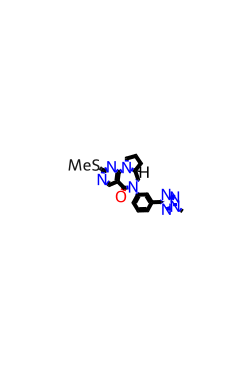 CSc1ncc2c(n1)N1CCC[C@H]1CN(c1cccc(-c3nnn(C)n3)c1)C2=O